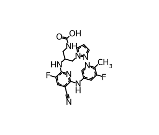 Cc1ncc(Nc2nc(NC(CNC(=O)O)Cn3cccn3)c(F)cc2C#N)cc1F